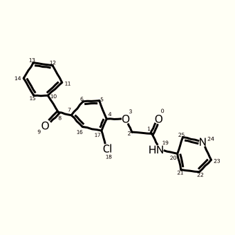 O=C(COc1ccc(C(=O)c2ccccc2)cc1Cl)Nc1cccnc1